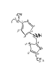 C[C@@H](C#N)c1ccc(Nc2nc(C(F)(F)F)cs2)cc1